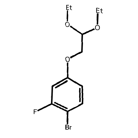 CCOC(COc1ccc(Br)c(F)c1)OCC